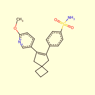 COc1ccc(C2=C(c3ccc(S(N)(=O)=O)cc3)CC3(CCC3)C2)cn1